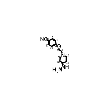 N#Cc1ccc(OCCN2CCC(NN)CC2)cc1